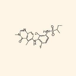 CCC(C)S(=O)(=O)Nc1ccc(F)c(Nc2ccc3ncn(C)c(=O)c3c2C)c1Cl